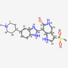 CN1CCC(c2ccc3[nH]c(-c4c(=O)[nH]cc5c(S(C)(=O)=O)c[nH]c45)nc3c2)CC1